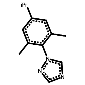 Cc1cc(C(C)C)cc(C)c1-n1cncn1